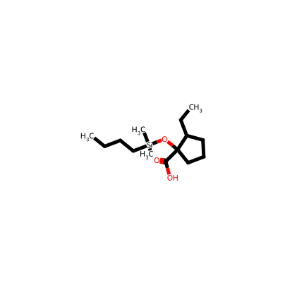 CCCC[Si](C)(C)OC1(C(=O)O)CCCC1CC